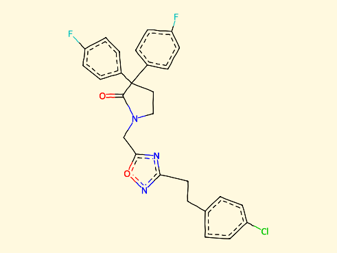 O=C1N(Cc2nc(CCc3ccc(Cl)cc3)no2)CCC1(c1ccc(F)cc1)c1ccc(F)cc1